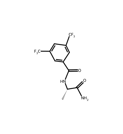 C[C@H](NC(=O)c1cc(C(F)(F)F)cc(C(F)(F)F)c1)C(N)=O